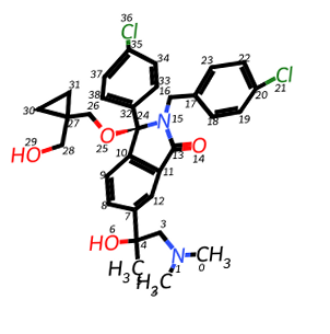 CN(C)CC(C)(O)c1ccc2c(c1)C(=O)N(Cc1ccc(Cl)cc1)[C@@]2(OCC1(CO)CC1)c1ccc(Cl)cc1